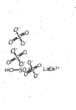 O=S(=O)(O)O.O=S(=O)([O-])[O-].O=S(=O)([O-])[O-].O=S(=O)([O-])[O-].[La+3].[La+3]